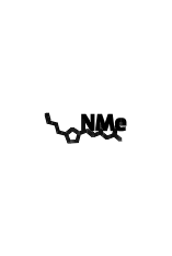 C=CCCC1CCC(/C(=C/C(=C)CC(=C)C)NC)C1